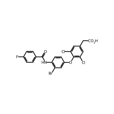 O=C(O)Cc1cc(Cl)c(Oc2ccc(NC(=O)c3ccc(F)cc3)c(Br)c2)c(Cl)c1